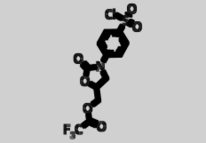 O=C1OC(COC(=O)C(F)(F)F)CN1c1ccc(S(=O)(=O)Cl)cc1